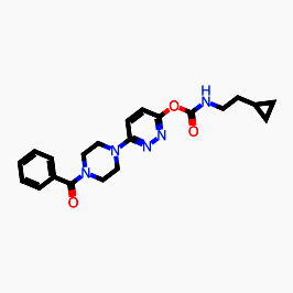 O=C(NCCC1CC1)Oc1ccc(N2CCN(C(=O)c3ccccc3)CC2)nn1